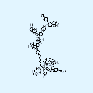 C#Cc1ccc([C@H](CO[Si](C)(C)C(C)(C)C)NC(=O)[C@@H]2C[C@@H](O)CN2C(=O)C(NC(=O)CCCCCCN2CCC(Nc3ccc(S(=O)(=O)NC(=O)c4ccc(N5CCN(CC6=C(c7ccc(Cl)cc7)CC(C)(C)CC6)CC5)cc4Oc4cnc5[nH]ccc5c4)cc3S(=O)(=O)C(F)(F)F)CC2)C(C)(C)C)cc1